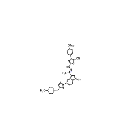 CCn1cc(/C(=N/Nc2nc(-c3ccc(OC)cc3)c(C#N)s2)C(F)(F)F)c2cc(-c3nc(CN4CCC(C)CC4)cs3)ccc21